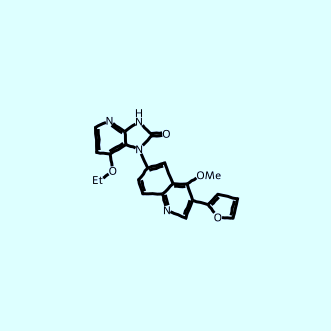 CCOc1ccnc2[nH]c(=O)n(-c3ccc4ncc(-c5ccco5)c(OC)c4c3)c12